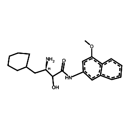 COc1cc(NC(=O)C(O)[C@H](N)CC2CCCCC2)cc2ccccc12